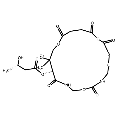 C[C@H](O)CC(=O)O[C@H]1C(=O)NCCC(=O)NCCSC(=O)CC(=O)CCC(=O)OCC1(C)C